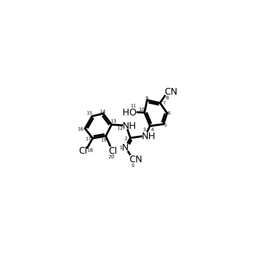 N#C/N=C(\Nc1ccc(C#N)cc1O)Nc1cccc(Cl)c1Cl